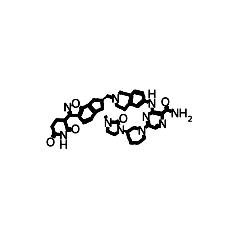 CN1CCN([C@@H]2CCCN(c3cnc(C(N)=O)c(Nc4ccc5c(c4)CCN(C[C@H]4Cc6ccc7c(C8CCC(=O)NC8=O)noc7c6C4)C5)n3)C2)C1=O